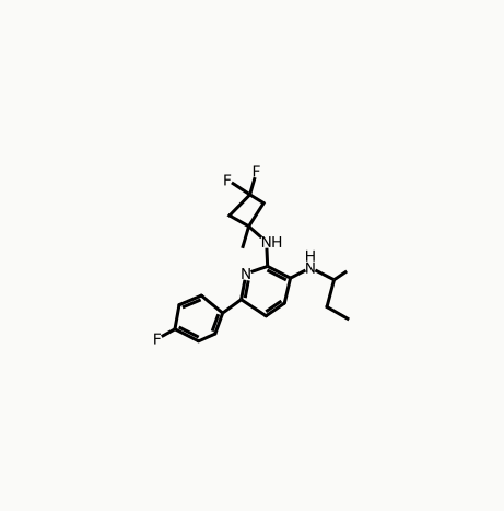 CCC(C)Nc1ccc(-c2ccc(F)cc2)nc1NC1(C)CC(F)(F)C1